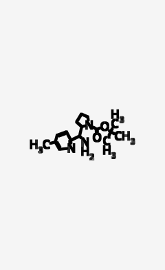 Cc1ccc(C(N)C2CCCN2C(=O)OC(C)(C)C)nc1